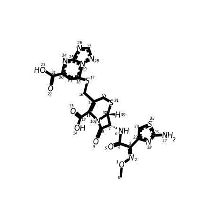 CO/N=C(\C(=O)N[C@@H]1C(=O)N2C(C(=O)O)=C(CSc3cc(C(=O)O)nc4ncnn34)CS[C@H]12)c1csc(N)n1